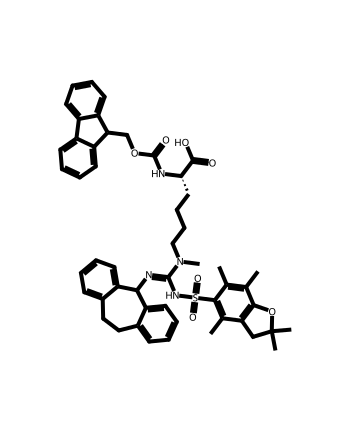 Cc1c(C)c(S(=O)(=O)NC(=NC2c3ccccc3CCc3ccccc32)N(C)CCCC[C@H](NC(=O)OCC2c3ccccc3-c3ccccc32)C(=O)O)c(C)c2c1OC(C)(C)C2